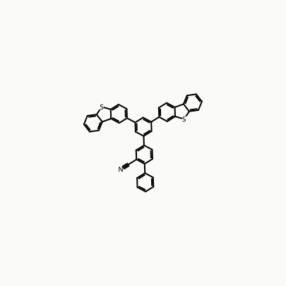 N#Cc1cc(-c2cc(-c3ccc4c(c3)sc3ccccc34)cc(-c3ccc4sc5ccccc5c4c3)c2)ccc1-c1ccccc1